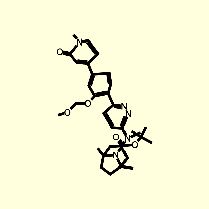 COCOc1cc(-c2ccn(C)c(=O)c2)ccc1-c1ccc(N(C)C2CC3(C)CCC(C)(C2)N3C(=O)OC(C)(C)C)nn1